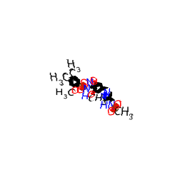 COc1cc(C)c(C)cc1S(=O)(=O)Nc1noc2cc(Cn3cc(CNS(C)(=O)=O)cn3)cc(OC)c12